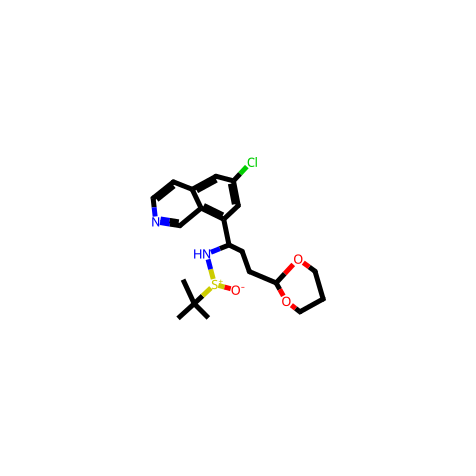 CC(C)(C)[S+]([O-])NC(CCC1OCCCO1)c1cc(Cl)cc2ccncc12